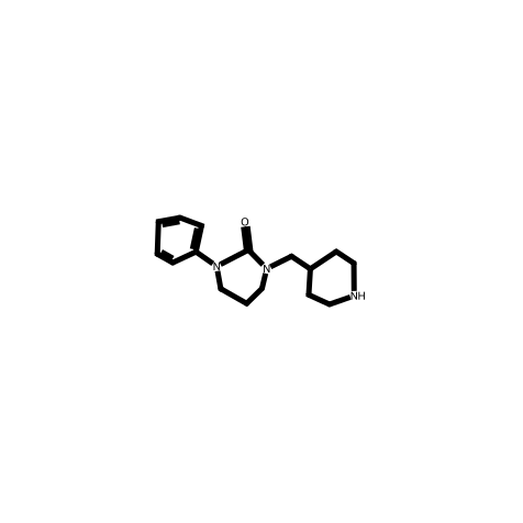 O=C1N(CC2CCNCC2)CCCN1c1ccccc1